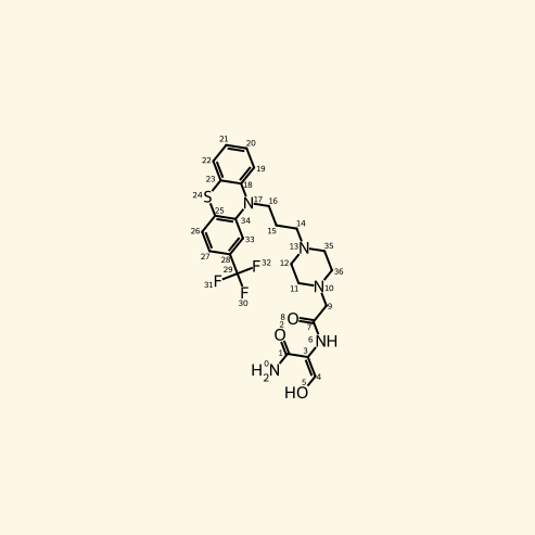 NC(=O)C(=CO)NC(=O)CN1CCN(CCCN2c3ccccc3Sc3ccc(C(F)(F)F)cc32)CC1